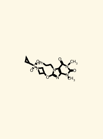 CC(C)CCn1c(OC2CN(S(=O)(=O)C3CC3)C2)nc2c1c(=O)n(C)c(=O)n2C